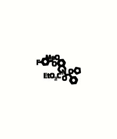 CCOC(=O)[C@@H]1Cc2c(ccc(OC)c2OCc2ccc(F)cc2)CN1C(=O)[C@@H](OC1CCCC1)c1ccccc1